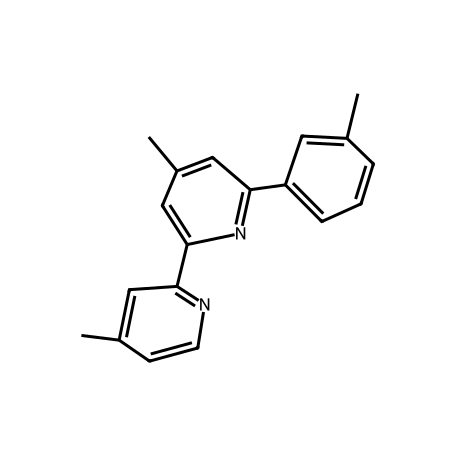 Cc1cccc(-c2cc(C)cc(-c3cc(C)ccn3)n2)c1